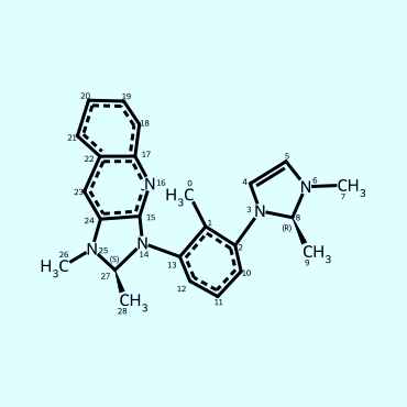 Cc1c(N2C=CN(C)[C@H]2C)cccc1N1c2nc3ccccc3cc2N(C)[C@@H]1C